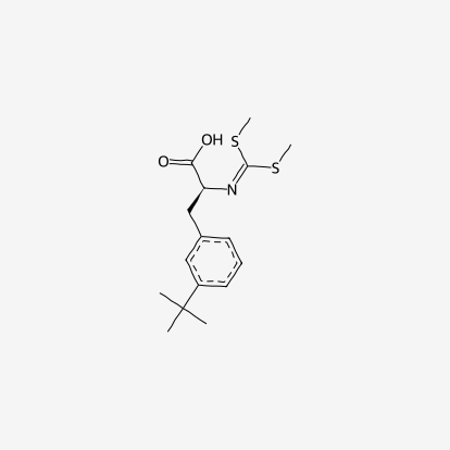 CSC(=N[C@@H](Cc1cccc(C(C)(C)C)c1)C(=O)O)SC